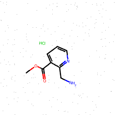 COC(=O)c1cccnc1CN.Cl